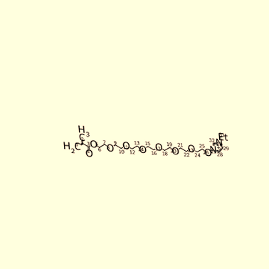 C=C(C)C(=O)OCCOCCOCCOCCOCCOCCOCCO[n+]1ccn(CC)c1